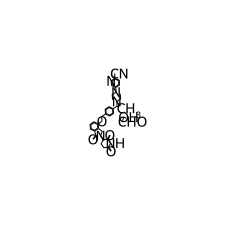 C[C@H](c1ccc(COc2cccc3c2CN(C2CCC(=O)NC2=O)C3=O)cc1)N1CCN(c2ccc(C#N)nc2)CC1.O=CO